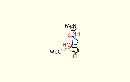 CNCC(CC(C)(C)C)NC(=O)N1CCC[C@@H]([C@@](O)(CCCCOC)c2cccc(Cl)c2F)C1